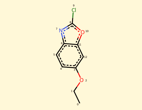 CCOc1ccc2nc(Cl)oc2c1